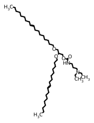 CCCCCCCCC=CCCCCCCCCOCC(COC(=O)NCCCN(CC)CC)OCCCCCCCCC=CCCCCCCCC